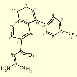 NC(N)=NC(=O)c1ccc2c(c1)C(c1ccc(C(F)(F)F)cc1)=CCC2